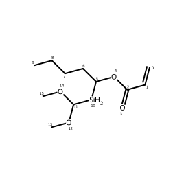 C=CC(=O)OC(CCCC)[SiH2]C(OC)OC